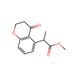 COC(=O)C(C)c1cccc2c1C(=O)CCO2